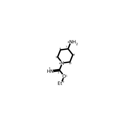 CCOC(=N)N1CCC(N)CC1